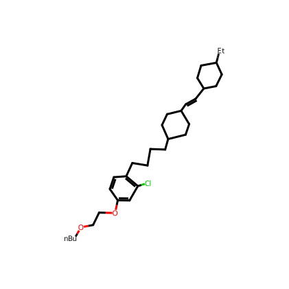 [CH2+][CH-]CCOCCOc1ccc(CCCCC2CCC(C=CC3CCC(CC)CC3)CC2)c(Cl)c1